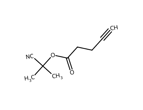 C#CCCC(=O)OC(C)(C)C#N